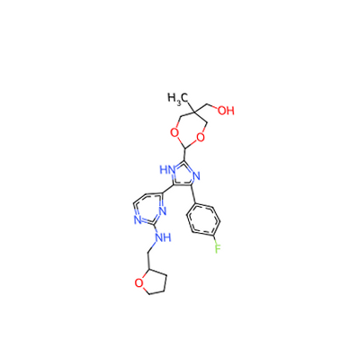 CC1(CO)COC(c2nc(-c3ccc(F)cc3)c(-c3ccnc(NCC4CCCO4)n3)[nH]2)OC1